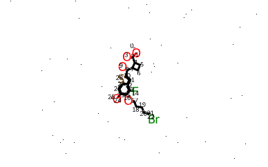 COC(=O)C1CCC1C(=O)c1cc2c(F)c(OCCCCCBr)c(OC)cc2s1